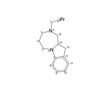 CC(C)CN1CCCN2c3ccccc3CC2C1